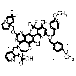 COc1ccc(CN(Cc2ccc(OC)cc2)c2cc(C)c(C(F)(F)F)c(-c3cc4nc(OC[C@@]56CCCN5CC(F)(F)C6)nc5c4c(c3Cl)OCCN5Cc3cccnc3NC(=O)O)n2)cc1